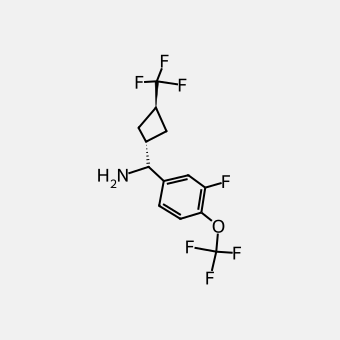 NC(c1ccc(OC(F)(F)F)c(F)c1)[C@H]1C[C@H](C(F)(F)F)C1